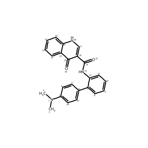 CN(C)c1ccc(-c2ccccc2NC(=O)c2c[nH]c3ccccc3c2=O)cc1